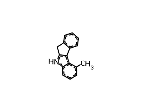 Cc1cccc2[nH]c3c(c12)-c1ccccc1C3